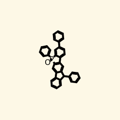 O=P1(c2ccccc2)c2cc(-c3ccccc3)ccc2-c2cc3c(cc21)-c1ccccc1C3c1ccccc1